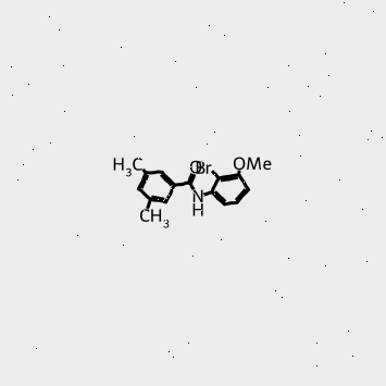 COc1cccc(NC(=O)c2cc(C)cc(C)c2)c1Br